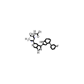 C=C/C(=C\C(=C/C)c1cc2c(-c3cc4c(-c5cccc(F)c5)cccc4[nH]3)n[nH]c2cn1)NC(=O)CC